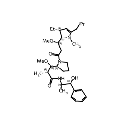 CC[C@@H]1C=C(CC(C)C)N(C)[C@@H]1[C@@H](CC(=O)N1CCC[C@H]1[C@H](OC)[C@@H](C)C(=O)N[C@H](C)[C@@H](O)c1ccccc1)OC